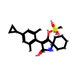 Cc1cc(C2CC2)cc(C)c1C1=C(OS(C)(=O)=O)C2(CCCCC2)NC1=O